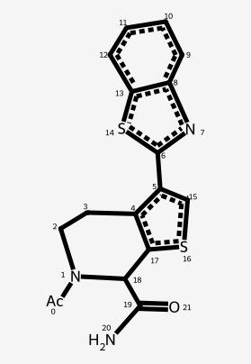 CC(=O)N1CCc2c(-c3nc4ccccc4s3)[c]sc2C1C(N)=O